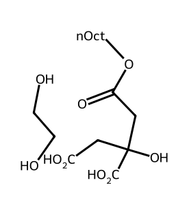 CCCCCCCCOC(=O)CC(O)(CC(=O)O)C(=O)O.OCCO